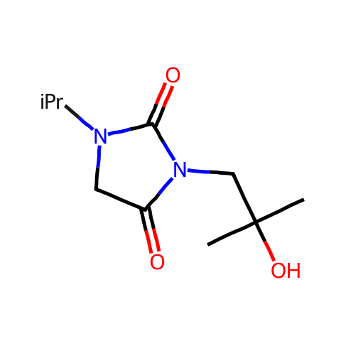 CC(C)N1CC(=O)N(CC(C)(C)O)C1=O